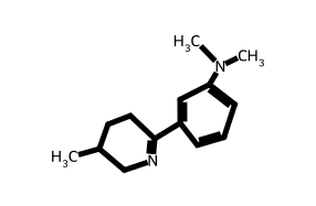 CC1CCC(c2cccc(N(C)C)c2)=NC1